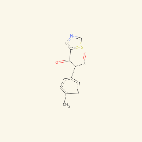 Cc1ccc(C([C]=O)C(=O)c2cncs2)cc1